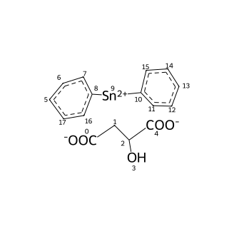 O=C([O-])CC(O)C(=O)[O-].c1cc[c]([Sn+2][c]2ccccc2)cc1